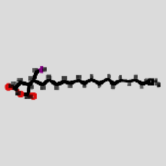 CCCCCCCCCCCCCCCCC(CI)C1CC(=O)OC1=O